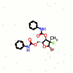 C[C@@]1(F)[C@H](OC(=O)Nc2ccccc2)[C@@H](COC(=O)Nc2ccccc2)O[C@@H]1Br